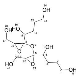 OCCCC(O)C1(OC2(C(O)CCCO)OC2CO)OC1CO